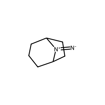 [N-]=[N+]1C2CCCC1CC2